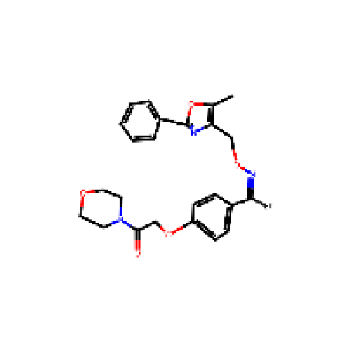 CC/C(=N/OCc1nc(-c2ccccc2)oc1C)c1ccc(OCC(=O)N2CCOCC2)cc1